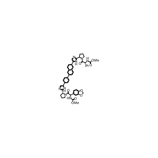 COC(=O)NC(C(=O)N1CCC[C@H]1c1ncc(-c2ccc(-c3ccc4cc(-c5cnc(C6CCCN6C(=O)[C@@H](NC(=O)OC)C(C)C)[nH]5)ccc4c3)cc2)[nH]1)c1ccc2c(c1)OCO2